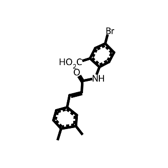 Cc1ccc(/C=C/C(=O)Nc2ccc(Br)cc2C(=O)O)cc1C